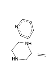 C1CNCCN1.C=C.c1ccncc1